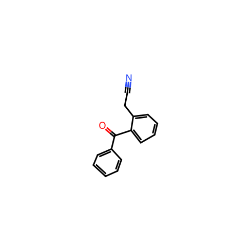 N#CCc1ccccc1C(=O)c1ccccc1